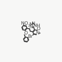 Cn1cc(Br)c(CCc2cc([N+](=O)[O-])ccc2OCc2ccccc2)c(-c2nnn[nH]2)c1=O